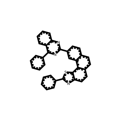 c1ccc(-c2nc3ccc4ccc5ccc(-c6nc(-c7ccccc7)c7ccccc7n6)cc5c4c3s2)cc1